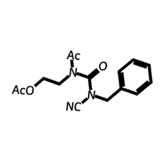 CC(=O)OCCN(C(C)=O)C(=O)N(C#N)Cc1ccccc1